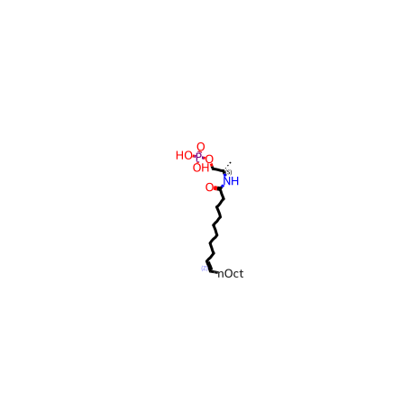 CCCCCCCC/C=C\CCCCCCCC(=O)N[C@@H](C)COP(=O)(O)O